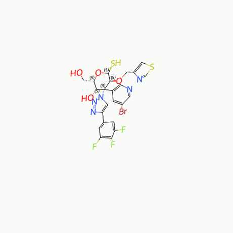 OC[C@@H]1O[C@@H](S)[C@@H](OCc2cscn2)[C@](c2cncc(Br)c2)(n2cc(-c3cc(F)c(F)c(F)c3)nn2)[C@@H]1O